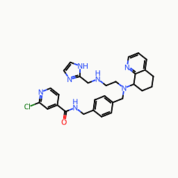 O=C(NCc1ccc(CN(CCNCc2ncc[nH]2)C2CCCc3cccnc32)cc1)c1ccnc(Cl)c1